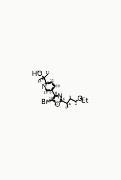 CCOCCC(C)c1nc(-c2ccc(C(C)(C)O)nc2)c(Br)o1